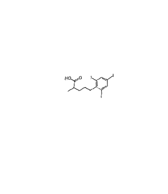 CC(CCCc1c(I)cc(I)cc1I)C(=O)O